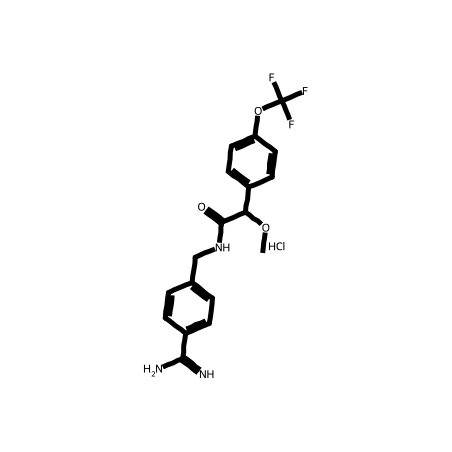 COC(C(=O)NCc1ccc(C(=N)N)cc1)c1ccc(OC(F)(F)F)cc1.Cl